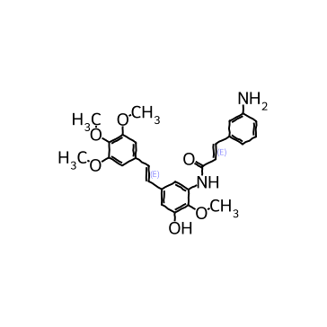 COc1cc(/C=C/c2cc(O)c(OC)c(NC(=O)/C=C/c3cccc(N)c3)c2)cc(OC)c1OC